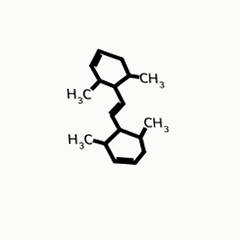 CC1C=CCC(C)C1C=CC1C(C)C=CCC1C